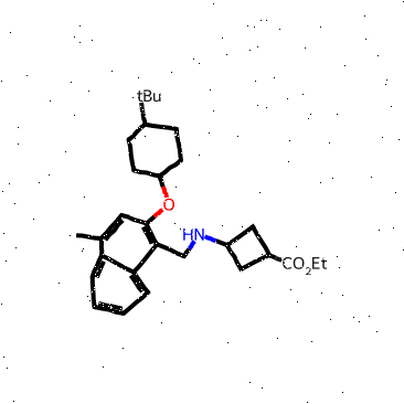 CCOC(=O)C1CC(NCc2c(OC3CCC(C(C)(C)C)CC3)cc(C)c3ccccc23)C1